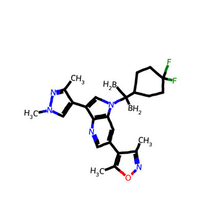 BC(B)(C1CCC(F)(F)CC1)n1cc(-c2cn(C)nc2C)c2ncc(-c3c(C)noc3C)cc21